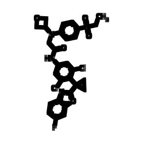 CCS(=O)(=O)c1ccc(N(CC(=O)Nc2cc(Cl)c(C3(c4nc5ccc(F)cc5o4)CC3)c(Cl)c2)C2COC2)cc1